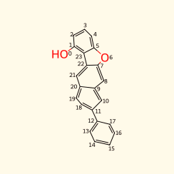 Oc1cccc2oc3cc4cc(-c5ccccc5)ccc4cc3c12